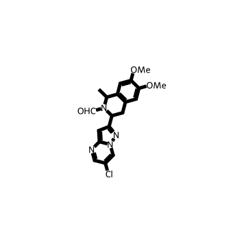 COc1cc2c(cc1OC)C(C)N(C=O)C(c1cc3ncc(Cl)cn3n1)C2